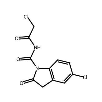 O=C(CCl)NC(=O)N1C(=O)Cc2cc(Cl)ccc21